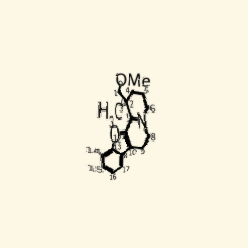 COC[C@@]1(C)CCCN2CCc3c(oc4ccccc34)C21